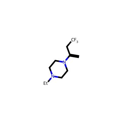 C=C(CC(F)(F)F)N1CCN(CC)CC1